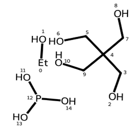 CCO.OCC(CO)(CO)CO.OP(O)O